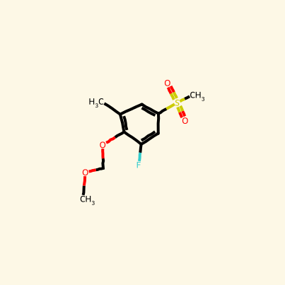 COCOc1c(C)cc(S(C)(=O)=O)cc1F